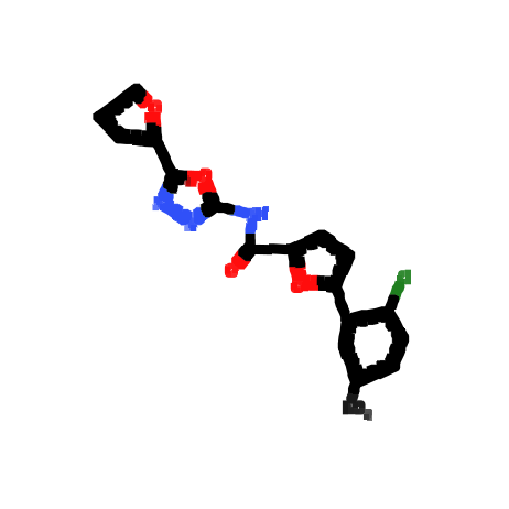 O=C(Nc1nnc(-c2ccco2)o1)c1ccc(-c2cc([N+](=O)[O-])ccc2Cl)o1